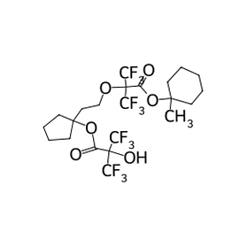 CC1(OC(=O)C(OCCC2(OC(=O)C(O)(C(F)(F)F)C(F)(F)F)CCCC2)(C(F)(F)F)C(F)(F)F)CCCCC1